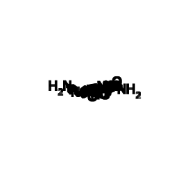 CC1CN(C(=O)C(C)(C)N)CC(CO)N1C(=O)Nc1ccn(-c2ccc(CN3CCC(N)CC3)cc2)c(=O)n1